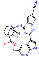 N#Cc1cc2c(N[C@H]3C4CCC(CC4)[C@@H]3C(=O)O)nc(-c3c[nH]c4ncc(F)cc34)nn2c1